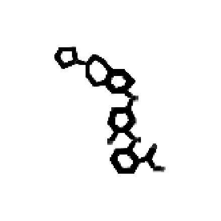 CNC(=O)c1ccccc1Nc1nc(Nc2ccc3c(c2)CC[C@@H](N2CCCC2)CC3)ncc1Cl